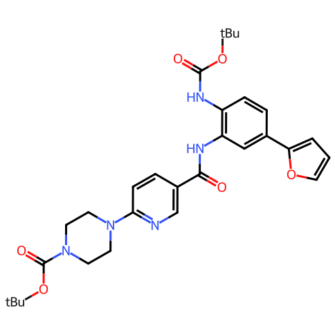 CC(C)(C)OC(=O)Nc1ccc(-c2ccco2)cc1NC(=O)c1ccc(N2CCN(C(=O)OC(C)(C)C)CC2)nc1